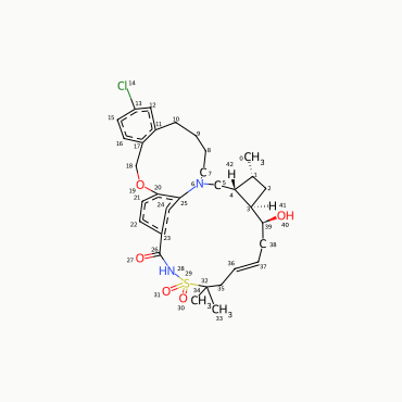 C[C@@H]1C[C@@H]2[C@@H]1CN1CCCCc3cc(Cl)ccc3COc3ccc(cc31)C(=O)NS(=O)(=O)C(C)(C)C/C=C/C[C@@H]2O